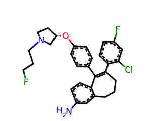 Nc1ccc2c(c1)CCCC(c1ccc(F)cc1Cl)=C2c1ccc(O[C@H]2CCN(CCCF)C2)cc1